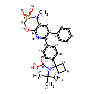 CN1c2cc(-c3ccccc3)c(-c3ccc(C4(N(C(=O)O)C(C)(C)C)CCC4)cc3)nc2OCS1(=O)=O